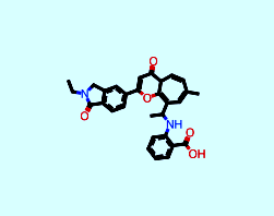 CCN1Cc2cc(C3=CC(=O)C4C=CC(C)=CC(C(C)Nc5ccccc5C(=O)O)=C4O3)ccc2C1=O